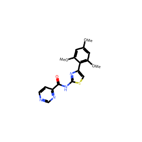 COc1cc(OC)c(-c2csc(NC(=O)c3ccncn3)n2)c(OC)c1